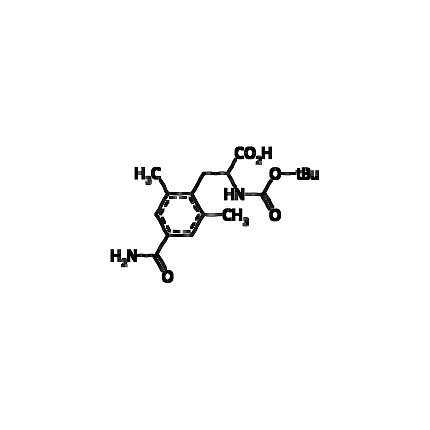 Cc1cc(C(N)=O)cc(C)c1CC(NC(=O)OC(C)(C)C)C(=O)O